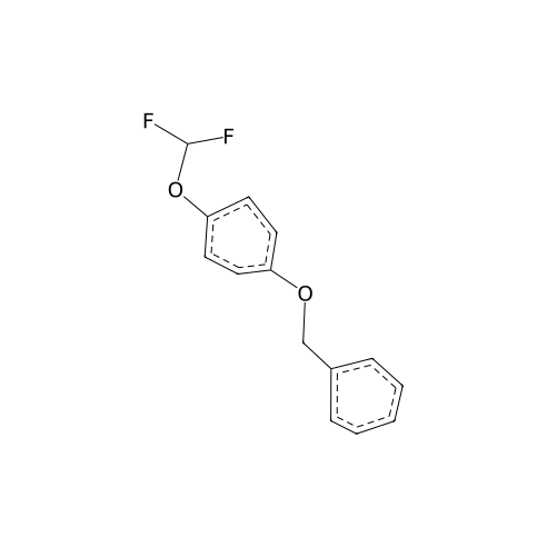 FC(F)Oc1ccc(OCc2ccccc2)cc1